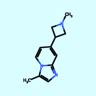 Cc1cnc2cc(C3CN(C)C3)ccn12